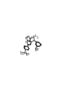 CCN(CC)c1ccc(-c2cc(C(C)c3cccc(Br)c3)c3c(N)ncnc3n2)cc1